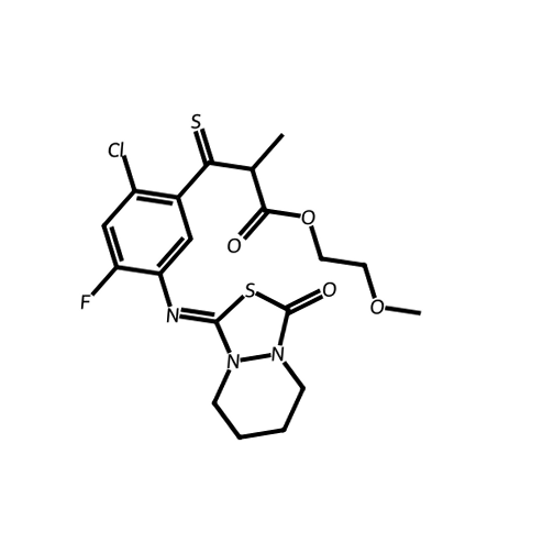 COCCOC(=O)C(C)C(=S)c1cc(N=c2sc(=O)n3n2CCCC3)c(F)cc1Cl